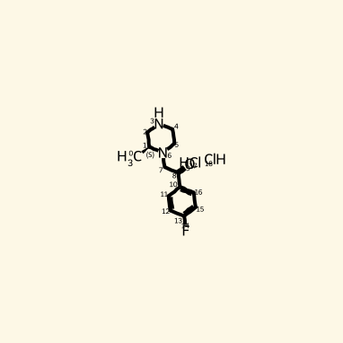 C[C@H]1CNCCN1CC(=O)c1ccc(F)cc1.Cl.Cl